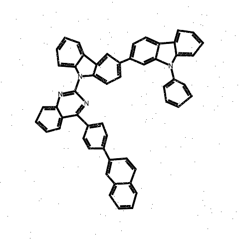 c1ccc(-n2c3ccccc3c3ccc(-c4ccc5c(c4)c4ccccc4n5-c4nc(-c5ccc(-c6ccc7ccccc7c6)cc5)c5ccccc5n4)cc32)cc1